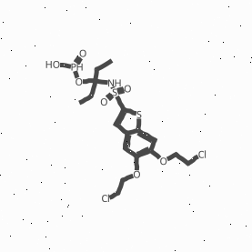 CCC(CC)(NS(=O)(=O)c1cc2cc(OCCCl)c(OCCCl)cc2s1)O[PH](=O)O